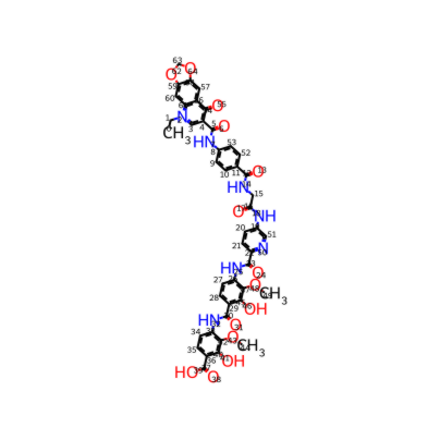 CCn1cc(C(=O)Nc2ccc(C(=O)NCC(=O)Nc3ccc(C(=O)Nc4ccc(C(=O)Nc5ccc(C(=O)O)c(O)c5OC)c(O)c4OC)nc3)cc2)c(=O)c2cc3c(cc21)OCO3